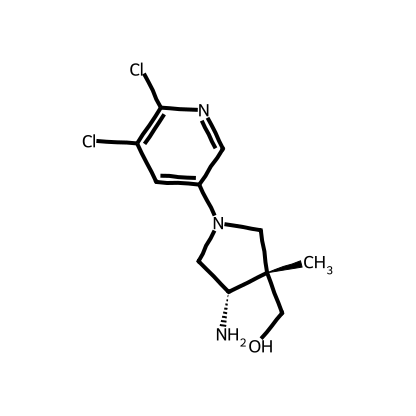 C[C@]1(CO)CN(c2cnc(Cl)c(Cl)c2)C[C@H]1N